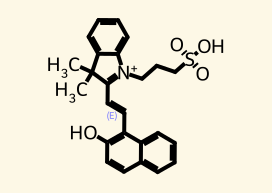 CC1(C)C(/C=C/c2c(O)ccc3ccccc23)=[N+](CCCS(=O)(=O)O)c2ccccc21